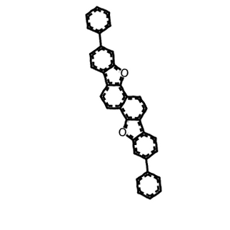 c1ccc(-c2ccc3c(c2)oc2c3ccc3c2ccc2c4ccc(-c5ccccc5)cc4oc23)cc1